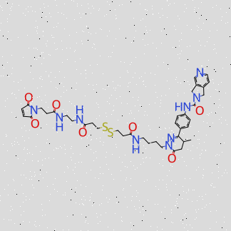 CC1CC(=O)N(CCCCNC(=O)CCSSCCC(=O)NCCNC(=O)CCN2C(=O)C=CC2=O)N=C1c1ccc(NC(=O)N2Cc3ccncc3C2)cc1